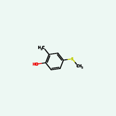 CSc1ccc(O)c(C)c1